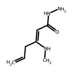 C=CC/C(=C/C(=O)NN)NC